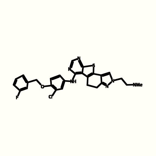 CNCCn1cc2c(n1)CCc1c-2sc2ncnc(Nc3ccc(OCc4cccc(F)c4)c(Cl)c3)c12